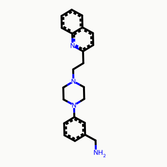 NCc1cccc(N2CCN(CCc3ccc4ccccc4n3)CC2)c1